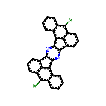 Brc1c2ccccc2c2c3nc4c5cccc6c(Br)c7ccccc7c(c4nc3c3cccc1c32)c65